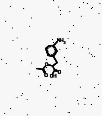 CC(=O)OC(Cc1cccc(N)c1)C(=O)O